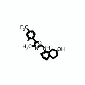 Cc1nc(Nc2cccc3c2C[C@@H](O)CC3)oc1-c1ccc(C(F)(F)F)cc1F